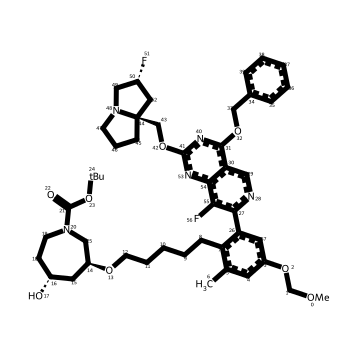 COCOc1cc(C)c(CCCCCO[C@H]2C[C@H](O)CCN(C(=O)OC(C)(C)C)C2)c(-c2ncc3c(OCc4ccccc4)nc(OC[C@@]45CCCN4C[C@H](F)C5)nc3c2F)c1